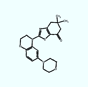 CC1(C)CC(=O)c2sc(N3CCOc4ccc(N5CCOCC5)cc43)nc2C1